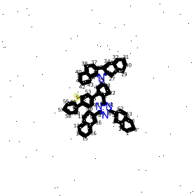 c1ccc2cc(-c3nc(-c4ccc5ccccc5c4)nc(-c4ccc(-n5c6cc7ccccc7cc6c6ccc7ccccc7c65)cc4-c4ccc5c(c4)sc4ccccc45)n3)ccc2c1